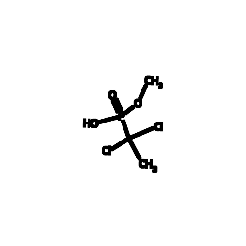 COP(=O)(O)C(C)(Cl)Cl